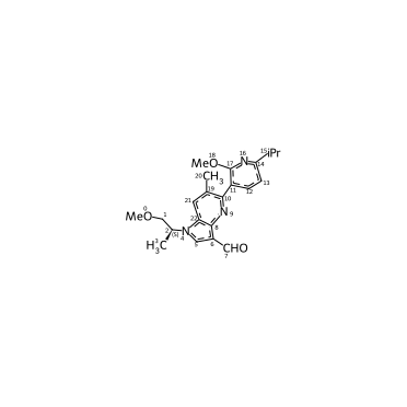 COC[C@H](C)n1cc(C=O)c2nc(-c3ccc(C(C)C)nc3OC)c(C)cc21